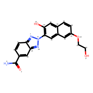 NC(=O)c1ccc2nn(-c3cc4cc(OCCO)ccc4cc3O)nc2c1